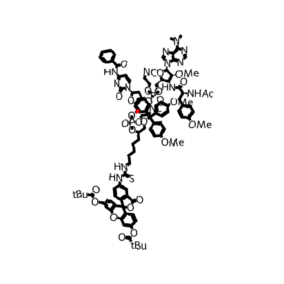 [C-]#[N+]CCOP(=O)(OC[C@H]1O[C@@H](n2ccc(NC(=O)c3ccccc3)nc2=O)C[C@@H]1OP(=O)(OCC[N+]#[C-])OC[C@H]1O[C@@H](n2cnc3c(N(C)C)ncnc32)[C@H](OC)[C@@H]1NC(=O)[C@H](Cc1ccc(OC)cc1)NC(C)=O)OC(CCCCCNC(=S)Nc1ccc2c(c1)C(=O)OC21c2ccc(OC(=O)C(C)(C)C)cc2Oc2cc(OC(=O)C(C)(C)C)ccc21)COC(c1ccccc1)(c1ccc(OC)cc1)c1ccc(OC)cc1